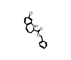 O=C(OCc1ccccc1)C1CC=Cc2ccc(Cl)cc2N1